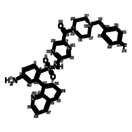 Nc1ccc(S(=O)(=O)Nc2cnc(C(=O)N3CCN(Cc4ccc(F)cc4)CC3)cn2)c(-c2cccc3cccnc23)c1